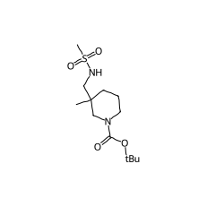 CC1(CNS(C)(=O)=O)CCCN(C(=O)OC(C)(C)C)C1